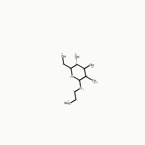 CSCCOC1OC(CO)[C@H](O)C(O)C1C